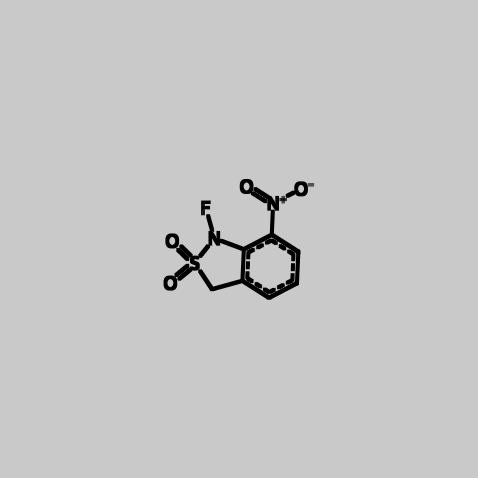 O=[N+]([O-])c1cccc2c1N(F)S(=O)(=O)C2